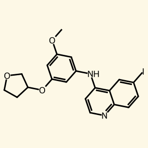 COc1cc(Nc2ccnc3ccc(I)cc23)cc(OC2CCOC2)c1